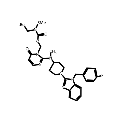 CSN(CC(C)(C)C)C(=O)OCn1c(N(C)C2CCN(c3nc4ccccc4n3Cc3ccc(F)cc3)CC2)nccc1=O